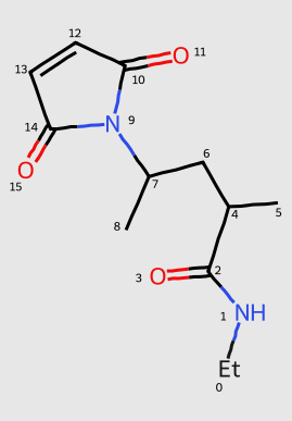 CCNC(=O)C(C)CC(C)N1C(=O)C=CC1=O